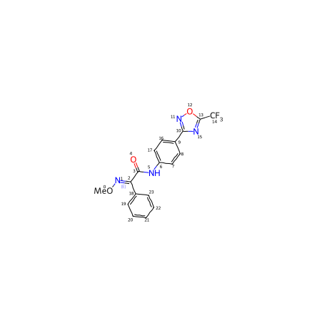 CO/N=C(/C(=O)Nc1ccc(-c2noc(C(F)(F)F)n2)cc1)c1ccccc1